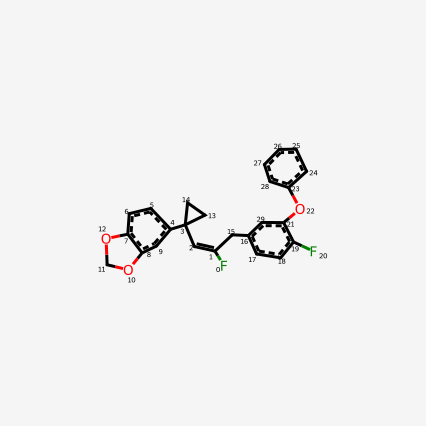 F/C(=C/C1(c2ccc3c(c2)OCO3)CC1)Cc1ccc(F)c(Oc2ccccc2)c1